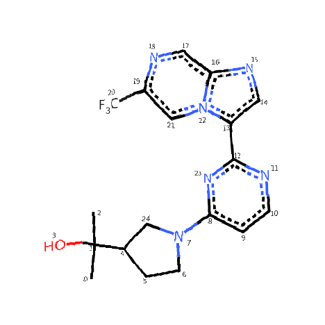 CC(C)(O)C1CCN(c2ccnc(-c3cnc4cnc(C(F)(F)F)cn34)n2)C1